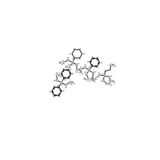 CCC[Si](OC)(OC)OC.CO[Si](C)(OC)C1CCCCC1.CO[Si](OC)(OC)c1ccccc1.CO[Si](OC)(c1ccccc1)c1ccccc1